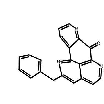 O=C1c2ncccc2-c2nc(Cc3ccccc3)cc3ccnc1c23